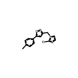 CCc1nccn1Cc1cc(-c2ccc(C)cc2)on1